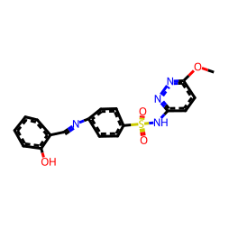 COc1ccc(NS(=O)(=O)c2ccc(/N=C/c3ccccc3O)cc2)nn1